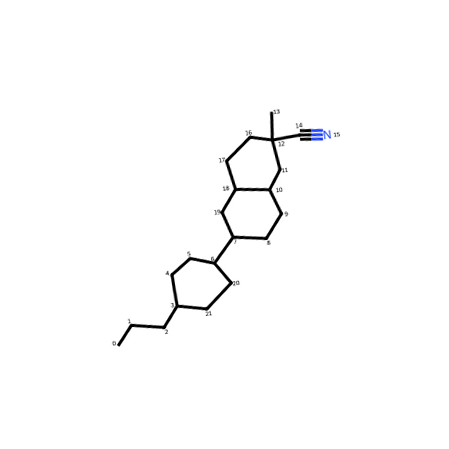 CCCC1CCC(C2CCC3CC(C)(C#N)CCC3C2)CC1